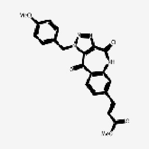 COC(=O)C=Cc1ccc2c(=O)c3c(nnn3Cc3ccc(OC)cc3)c(=O)[nH]c2c1